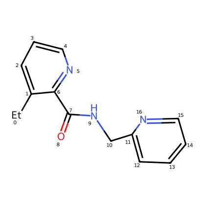 CCc1cccnc1C(=O)NCc1ccccn1